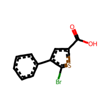 O=C(O)c1cc(-c2ccccc2)c(Br)s1